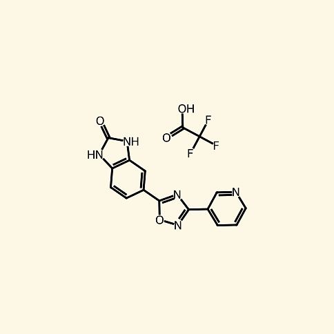 O=C(O)C(F)(F)F.O=c1[nH]c2ccc(-c3nc(-c4cccnc4)no3)cc2[nH]1